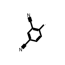 [CH2]c1ccc(C#N)cc1C#N